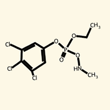 CCOP(=O)(ONC)Oc1cc(Cl)c(Cl)c(Cl)c1